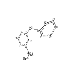 CCNc1cccc(Oc2ccccc2)c1